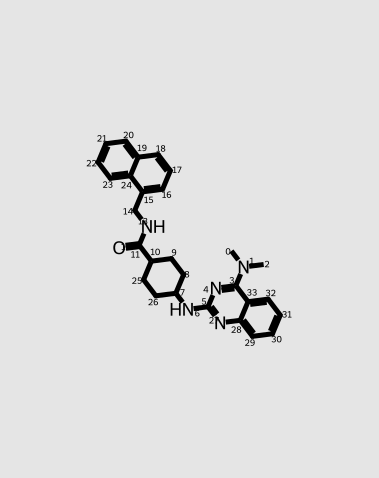 CN(C)c1nc(NC2CCC(C(=O)NCc3cccc4ccccc34)CC2)nc2ccccc12